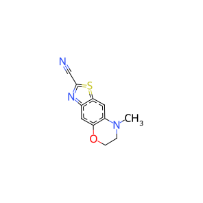 CN1CCOc2cc3nc(C#N)sc3cc21